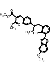 CCN(Cc1cccc(-n2nc3ccc(OC)cc3n2)c1O)c1ccc(C=C(C(=O)OC)C(=O)OC)cc1